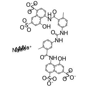 Cc1ccc(NC(=O)Nc2ccc(C)c(C(=O)Nc3ccc(S(=O)(=O)[O-])c4cc(S(=O)(=O)[O-])cc(O)c34)c2)cc1C(=O)Nc1ccc(S(=O)(=O)[O-])c2cc(S(=O)(=O)[O-])cc(O)c12.[Na+].[Na+].[Na+].[Na+]